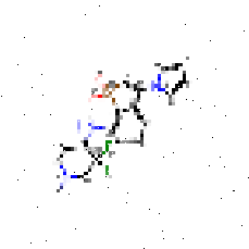 CN1CCC(Nc2cccc3c2S(=O)(=O)C=C3n2cccc2)C(F)(F)C1